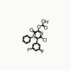 O=C(O)Oc1nc(Cl)c(-c2cc(F)cc(F)c2)n(-c2ccccc2)c1=O